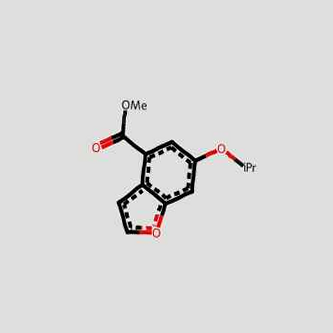 COC(=O)c1cc(OC(C)C)cc2occc12